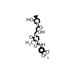 C[C@H]1C(=O)N(C[C@@H](O)CC(=O)N2CCC3(CC3)[C@H](O)C2)CCN1C(=O)Nc1ccc(C(F)(F)F)c(Cl)c1